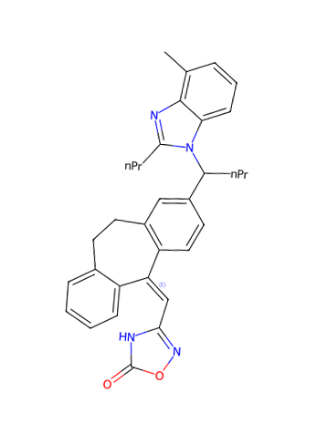 CCCc1nc2c(C)cccc2n1C(CCC)c1ccc2c(c1)CCc1ccccc1/C2=C\c1noc(=O)[nH]1